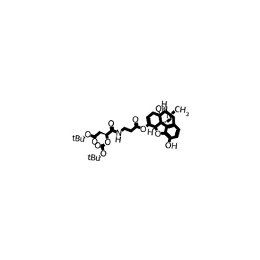 CN1CC[C@]23c4c5ccc(O)c4O[C@H]2C(OC(=O)CCNC(=O)[C@H](CC(=O)OC(C)(C)C)OC(=O)OC(C)(C)C)=CC[C@@]3(O)[C@H]1C5